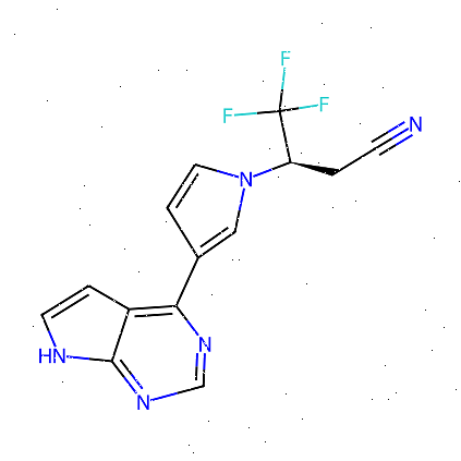 N#CC[C@@H](n1ccc(-c2ncnc3[nH]ccc23)c1)C(F)(F)F